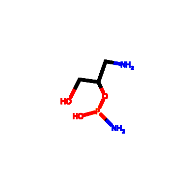 NCC(CO)OP(N)O